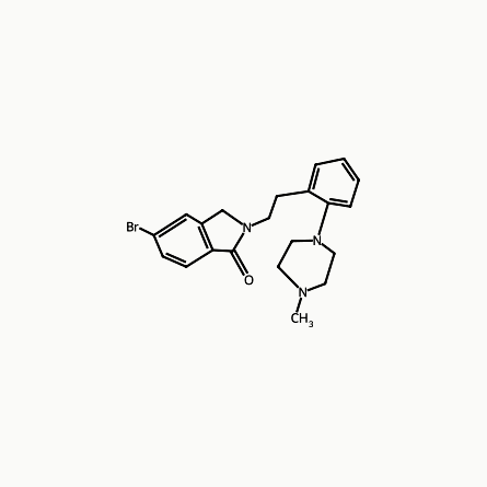 CN1CCN(c2ccccc2CCN2Cc3cc(Br)ccc3C2=O)CC1